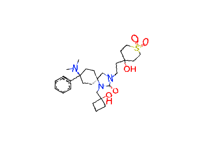 CN(C)[C@]1(c2ccccc2)CC[C@]2(CC1)CN(CCC1(O)CCS(=O)(=O)CC1)C(=O)N2CC1(O)CCC1